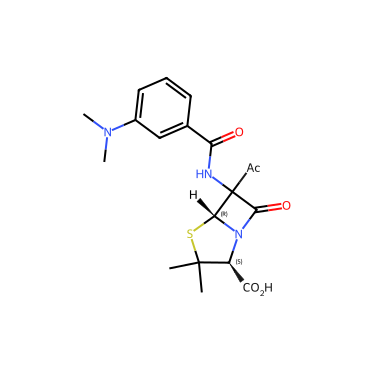 CC(=O)C1(NC(=O)c2cccc(N(C)C)c2)C(=O)N2[C@@H](C(=O)O)C(C)(C)S[C@@H]21